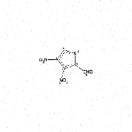 O=Cc1scc([N+](=O)[O-])c1[N+](=O)[O-]